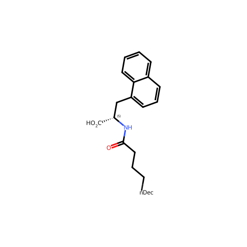 CCCCCCCCCCCCCC(=O)N[C@@H](Cc1cccc2ccccc12)C(=O)O